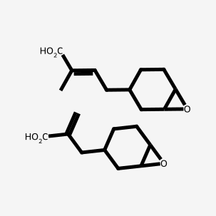 C=C(CC1CCC2OC2C1)C(=O)O.CC(=CCC1CCC2OC2C1)C(=O)O